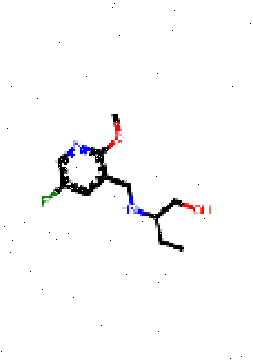 CC[C@H](CO)NCc1cc(F)cnc1OC